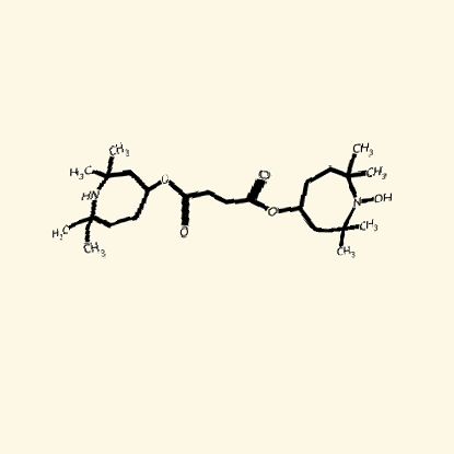 CC1(C)CCC(OC(=O)CCC(=O)OC2CCC(C)(C)N(O)C(C)(C)C2)CC(C)(C)N1